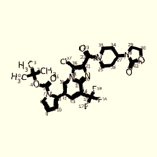 CC(C)(C)OC(=O)n1cccc1-c1cc(C(F)(F)F)c2nc(C(=O)N3CCC(N4CCOC4=O)CC3)c(Cl)n2c1